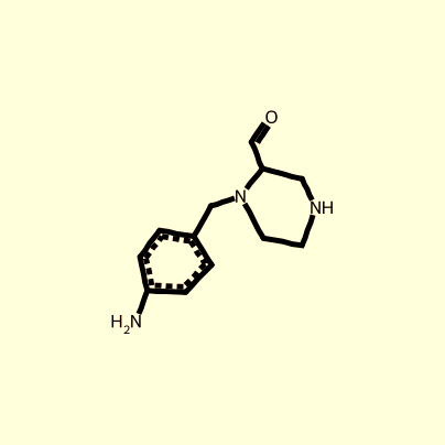 Nc1ccc(CN2CCNCC2C=O)cc1